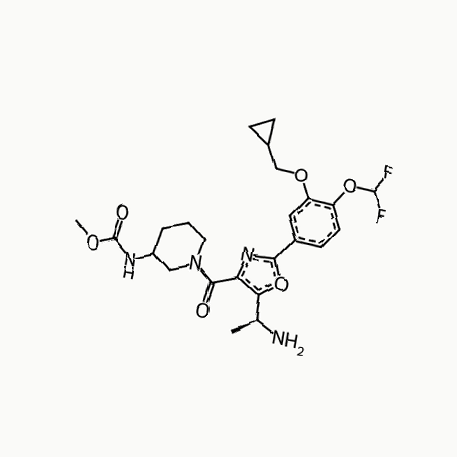 COC(=O)NC1CCCN(C(=O)c2nc(-c3ccc(OC(F)F)c(OCC4CC4)c3)oc2[C@H](C)N)C1